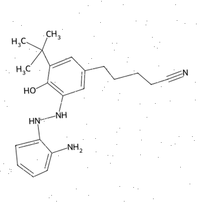 CC(C)(C)c1cc(CCCCC#N)cc(NNc2ccccc2N)c1O